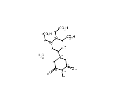 CCC(CN(CC(=O)O)N(CC(=O)O)CC(=O)O)N1CC(=O)N(C)C(=O)C1.O